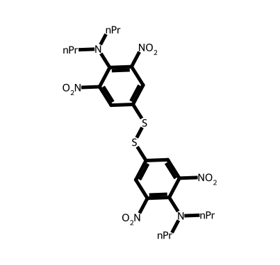 CCCN(CCC)c1c([N+](=O)[O-])cc(SSc2cc([N+](=O)[O-])c(N(CCC)CCC)c([N+](=O)[O-])c2)cc1[N+](=O)[O-]